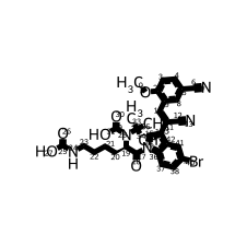 COc1ccc(C#N)cc1C=C(C#N)c1cn(C(=O)[C@@H](CCCCNC(=O)O)N(C(=O)O)C(C)(C)C)c2ccc(Br)cc12